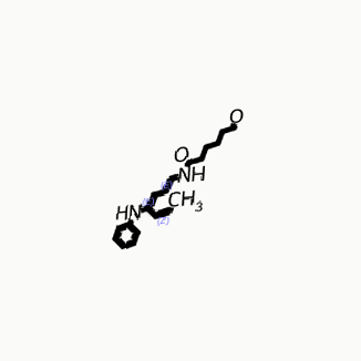 C\C=C/C(=C\C=C\NC(=O)CCCCC=O)Nc1ccccc1